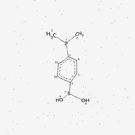 CB(C)c1ccc(B(O)O)cc1